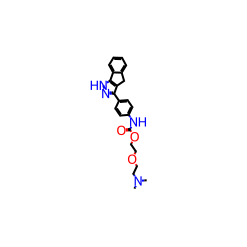 CN(C)CCOCCOC(=O)Nc1ccc(-c2n[nH]c3c2Cc2ccccc2-3)cc1